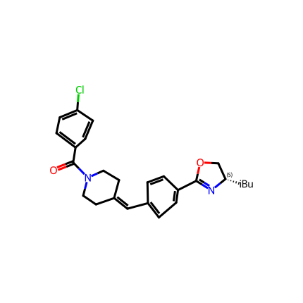 CCC(C)[C@H]1COC(c2ccc(C=C3CCN(C(=O)c4ccc(Cl)cc4)CC3)cc2)=N1